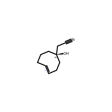 N#CC[C@]1(O)CC/C=C/CCC1